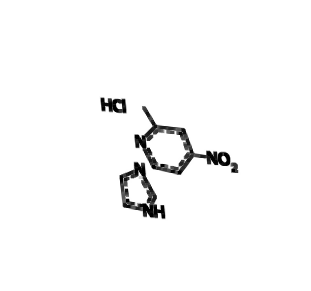 Cc1cc([N+](=O)[O-])ccn1.Cl.c1c[nH]cn1